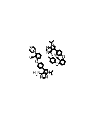 CC(C)n1cc(-c2ccc(Oc3cccc(N4CCSCC4)c3C#N)cc2)c2c(N)ncnc21.Cc1ccc(Oc2cccc(Oc3ccc(-c4cn(C(C)C)c5ncnc(N)c45)cc3)c2C#N)cc1